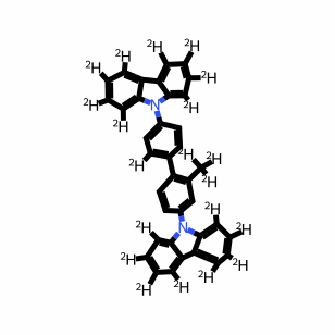 [2H]c1cc(-n2c3c([2H])c([2H])c([2H])c([2H])c3c3c([2H])c([2H])c([2H])c([2H])c32)ccc1-c1ccc(-n2c3c([2H])c([2H])c([2H])c([2H])c3c3c([2H])c([2H])c([2H])c([2H])c32)cc1C([2H])([2H])[2H]